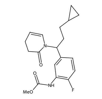 COC(=O)Nc1cc(C(CCC2CC2)N2C=CCCC2=O)ccc1F